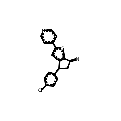 N=C1CC(c2ccc(Cl)cc2)c2cc(-c3ccncc3)sc21